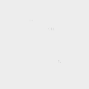 CCCN(C=C1C=CC=C(OC)C1O)CCC